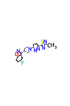 Cc1nsc(-c2ccc(N3CCC(c4noc5ccc(F)cc45)CC3)nn2)n1